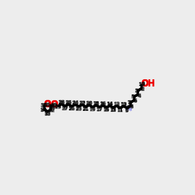 OCCCCCCC/C=C\CCCCCCCCCCCCCCCCCCCCO[C@H]1CCCCO1